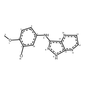 COc1ccc(Nc2n[nH]c3nccnc23)cc1Cl